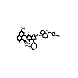 C#Cc1c(F)ccc2cc(O)cc(-c3nc(OC)c4c(N5CCOC[C@@](C)(O)C5)nc(OC[C@]56CCC[C@H]5N(CC5CN(C(C)=O)C5)CCC6)nc4c3F)c12